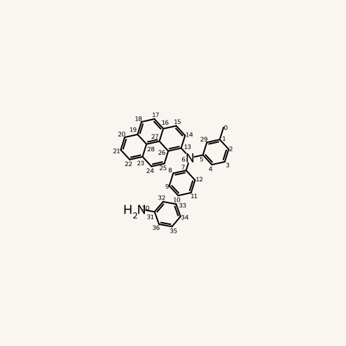 Cc1cccc(N(c2ccccc2)c2ccc3ccc4cccc5ccc2c3c45)c1.Nc1ccccc1